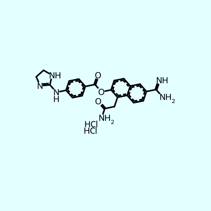 Cl.Cl.N=C(N)c1ccc2c(CC(N)=O)c(OC(=O)c3ccc(NC4=NCCN4)cc3)ccc2c1